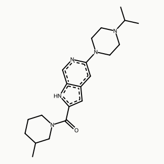 CC1CCCN(C(=O)c2cc3cc(N4CCN(C(C)C)CC4)ncc3[nH]2)C1